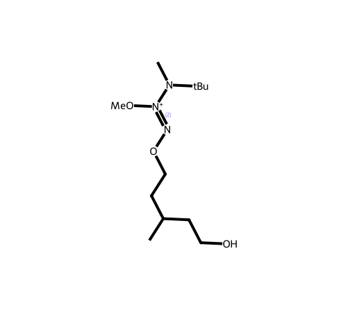 CO/[N+](=N\OCCC(C)CCO)N(C)C(C)(C)C